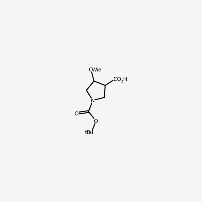 COC1CN(C(=O)OC(C)(C)C)CC1C(=O)O